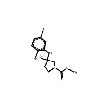 CC1(Nc2cc(Br)ccc2[N+](=O)[O-])CCN(C(=O)OC(C)(C)C)C1